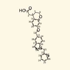 O=C(O)CC1CCOc2cc(OCc3ccc4c(cnn4Cc4ccccn4)c3)ccc21